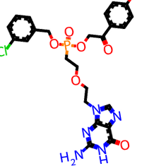 COc1ccc(C(=O)COP(=O)(CCOCCn2cnc3c(=O)[nH]c(N)nc32)OCc2cccc(Cl)c2)cc1